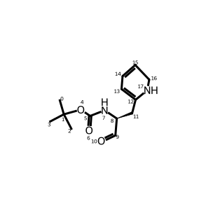 CC(C)(C)OC(=O)N[C@H](C=O)CC1=CC=CCN1